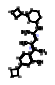 CC(/C=C(\N)NC1CCCN(C2COC2)C1)=C(/N)c1ccc(C2CCC2)cc1O